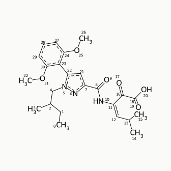 CCC(C)Cn1nc(C(=O)N/C(=C/C(C)C)C(=O)C(=O)O)cc1-c1c(OC)cccc1OC